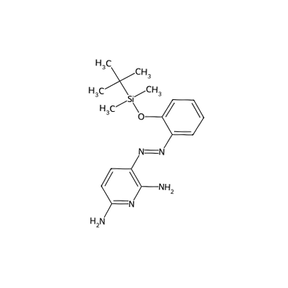 CC(C)(C)[Si](C)(C)Oc1ccccc1N=Nc1ccc(N)nc1N